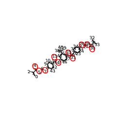 C=C(C)C(=O)OCOc1ccc(C(=O)Oc2ccc(OC(=O)c3ccc(OCOC(=O)C(=C)C)cc3)c(C(C)(C)C)c2)cc1